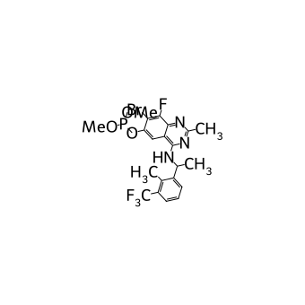 COP(OC)Oc1cc2c(NC(C)c3cccc(C(F)(F)F)c3C)nc(C)nc2c(F)c1Br